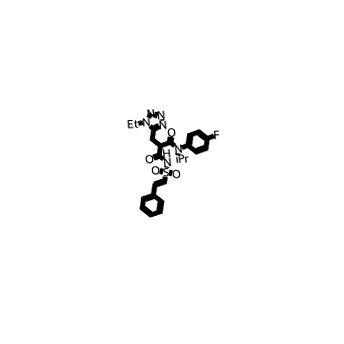 CCn1nnnc1CC(C(=O)NS(=O)(=O)/C=C/c1ccccc1)C(=O)N(c1ccc(F)cc1)C(C)C